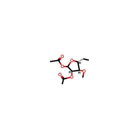 CC[C@H]1OC(OC(C)=O)[C@H](OC(C)=O)[C@@H]1OC